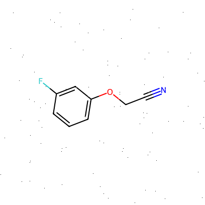 N#CCOc1cccc(F)c1